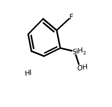 I.O[SiH2]c1ccccc1F